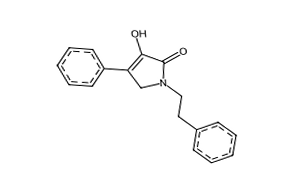 O=C1C(O)=C(c2ccccc2)CN1CCc1ccccc1